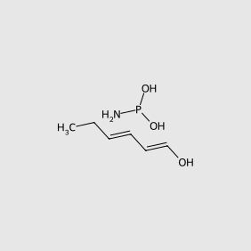 CCC=CC=CO.NP(O)O